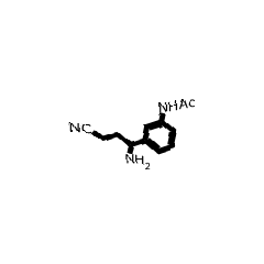 CC(=O)Nc1cccc(C(N)CCC#N)c1